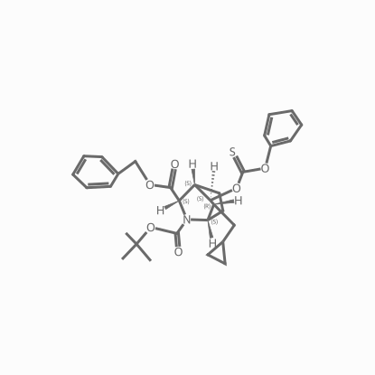 CC(C)(C)OC(=O)N1[C@H](C(=O)OCc2ccccc2)[C@@H]2CC[C@H]1[C@@H](CC1CC1)[C@@H]2OC(=S)Oc1ccccc1